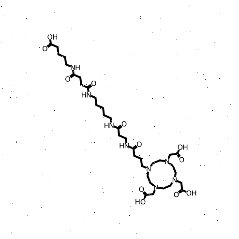 O=C(O)CCCCNC(=O)CCC(=O)NCCCCCNC(=O)CCNC(=O)CCCN1CCN(CC(=O)O)CCN(CC(=O)O)CCN(CC(=O)O)CC1